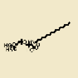 CCCCCCCCCCCCCCCC(=O)NC(C(=O)O)C(C)(C)COC(C)(C)CCOP(=O)(O)S